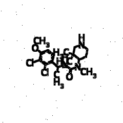 COc1ccc(C(C)NC(=O)N(C)C2CCNCC2(C)C)c(Cl)c1Cl